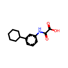 O=C(O)C(=O)Nc1cccc(C2CCCCC2)c1